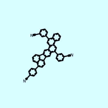 N#Cc1ccc(-c2ccc3c4c(cccc24)-c2cc4c(cc2-3)c(-c2cccc(C#N)c2)cc2c3ccccc3c(-c3cccc(C#N)c3)cc42)cc1